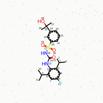 CC(C)c1cc(F)cc(C(C)C)c1NC(=O)NS(=O)(=O)c1cccc(C(C)(C)O)c1